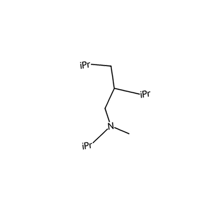 CC(C)CC(CN(C)C(C)C)C(C)C